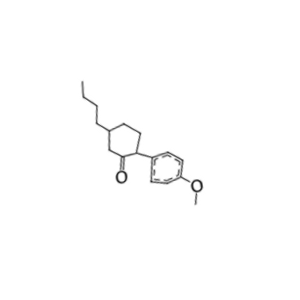 CCCCC1CCC(c2ccc(OC)cc2)C(=O)C1